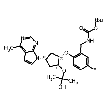 Cc1ncnc2c1ccn2[C@@H]1C[C@H](Oc2ccc(F)cc2CNC(=O)OC(C)(C)C)[C@@H](OC(C)(C)O)C1